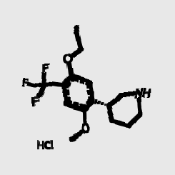 CCOc1cc([C@H]2CCCNC2)c(OC)cc1C(F)(F)F.Cl